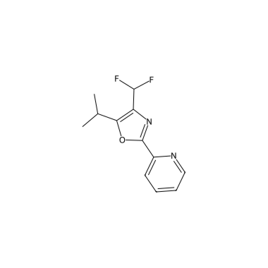 CC(C)c1oc(-c2ccccn2)nc1C(F)F